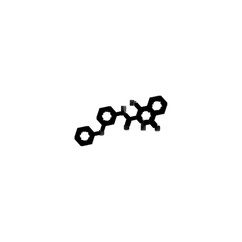 O=C(Nc1cccc(Oc2ccccc2)c1)c1[nH]c(=O)c2ccccc2c1Br